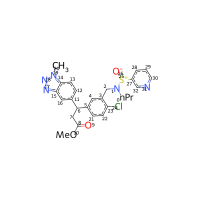 CCCN(Cc1cc(C(CC(=O)OC)c2ccc3c(c2)nnn3C)ccc1Cl)[S+]([O-])c1cccnc1